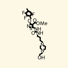 COC(=O)c1c(OCc2c(F)cc(C)c(F)c2F)nsc1NC(=O)NCCCCN1CCN(CCO)CC1